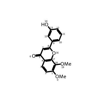 COc1ccc2c(=O)cc(-c3cccc(O)c3)oc2c1OC